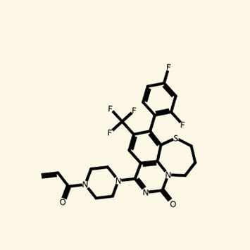 C=CC(=O)N1CCN(c2nc(=O)n3c4c(c(-c5ccc(F)cc5F)c(C(F)(F)F)cc24)SCCC3)CC1